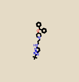 CC(C)(C)c1nc2ccc(NCCCN3CCC(OC(c4ccccc4)c4ccccc4)CC3)nn2n1